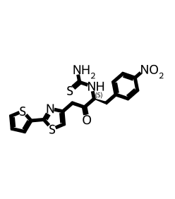 NC(=S)N[C@@H](Cc1ccc([N+](=O)[O-])cc1)C(=O)Cc1csc(-c2cccs2)n1